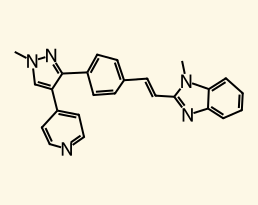 Cn1cc(-c2ccncc2)c(-c2ccc(C=Cc3nc4ccccc4n3C)cc2)n1